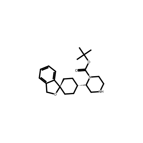 CC(C)(C)OC(=O)N1CCNCC1[C@H]1CC[C@@]2(CC1)OCc1ccccc12